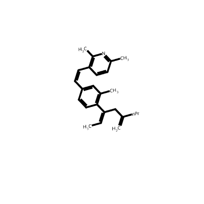 C=C(CCC)C/C(=C/C)c1ccc(/C=C\c2ccc(C)nc2C)cc1C